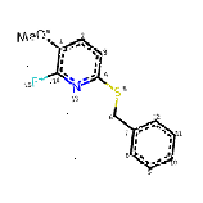 COc1ccc(SCc2ccccc2)nc1F